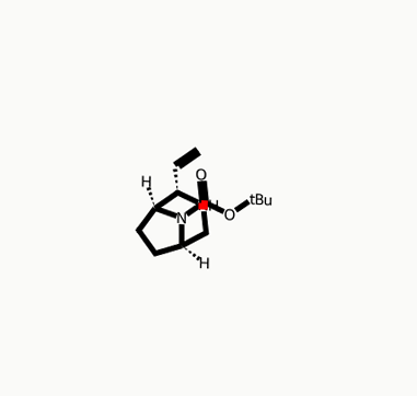 C=C[C@@H]1NC[C@H]2CC[C@@H]1N2C(=O)OC(C)(C)C